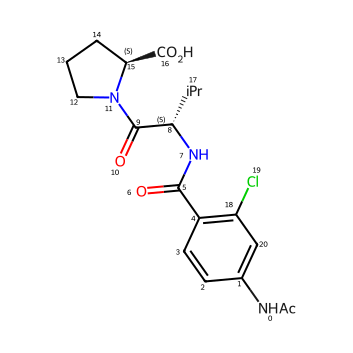 CC(=O)Nc1ccc(C(=O)N[C@H](C(=O)N2CCC[C@H]2C(=O)O)C(C)C)c(Cl)c1